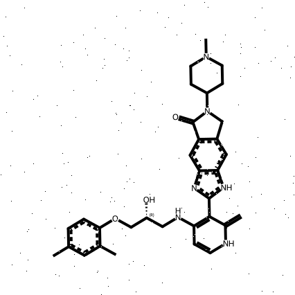 C=C1NC=CC(NC[C@@H](O)COc2ccc(C)cc2C)=C1c1nc2cc3c(cc2[nH]1)CN(C1CCN(C)CC1)C3=O